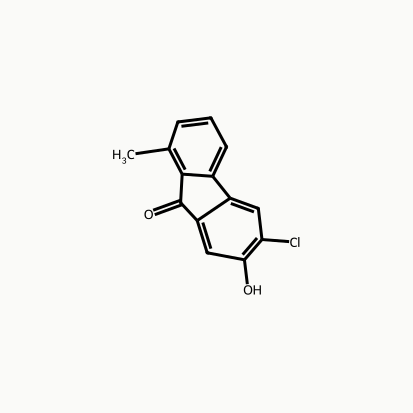 Cc1cccc2c1C(=O)c1cc(O)c(Cl)cc1-2